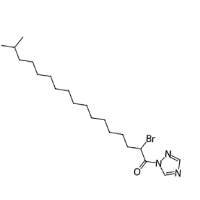 CC(C)CCCCCCCCCCCCCC(Br)C(=O)n1cncn1